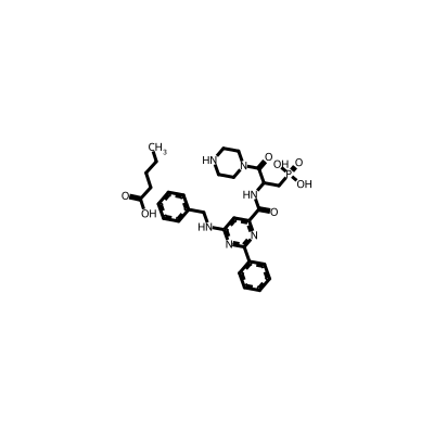 CCCCC(=O)O.O=C(NC(CP(=O)(O)O)C(=O)N1CCNCC1)c1cc(NCc2ccccc2)nc(-c2ccccc2)n1